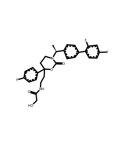 C[C@@H](c1ccc(-c2ccc(F)cc2F)cc1)N1CCC(CCNC(=O)CO)(c2ccc(F)cc2)OC1=O